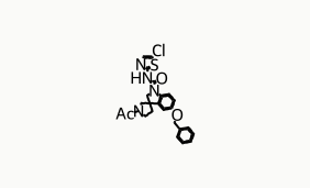 CC(=O)N1CCC2(C1)CN(C(=O)Nc1ncc(Cl)s1)c1ccc(OCc3ccccc3)cc12